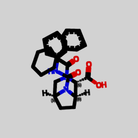 O=C(O)[C@@H]1[C@H]2CC[C@@H](CN1C(=O)C1(c3ccccc3)CCCCC1)N2C(=O)Nc1ccccc1